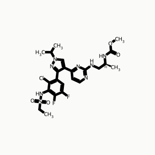 CCS(=O)(=O)Nc1c(F)c(F)cc(-c2nn(C(C)C)cc2-c2ccnc(NC[C@H](C)NC(=O)OC)n2)c1Cl